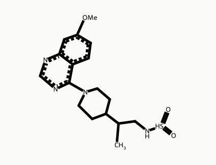 COc1ccc2c(N3CCC(C(C)CN[SH](=O)=O)CC3)ncnc2c1